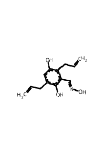 C=CCc1cc(O)c(CC=C)c(C=NO)c1O